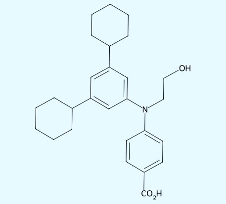 O=C(O)c1ccc(N(CCO)c2cc(C3CCCCC3)cc(C3CCCCC3)c2)cc1